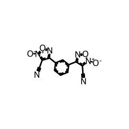 N#Cc1c(-c2cccc(-c3no[n+]([O-])c3C#N)c2)no[n+]1[O-]